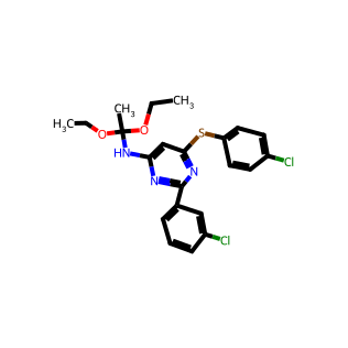 CCOC(C)(Nc1cc(Sc2ccc(Cl)cc2)nc(-c2cccc(Cl)c2)n1)OCC